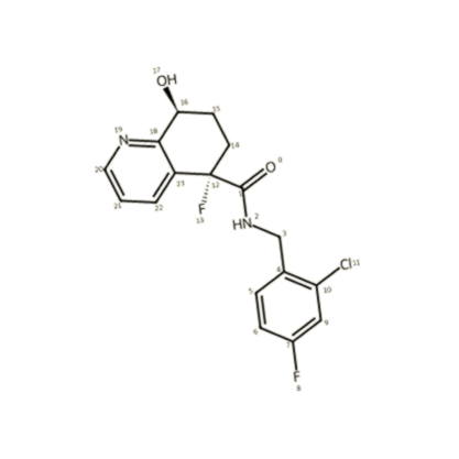 O=C(NCc1ccc(F)cc1Cl)[C@]1(F)CC[C@H](O)c2ncccc21